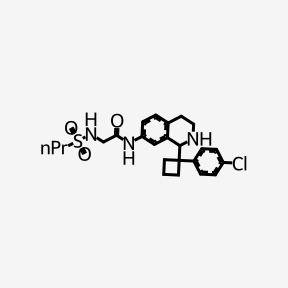 CCCS(=O)(=O)NCC(=O)Nc1ccc2c(c1)C(C1(c3ccc(Cl)cc3)CCC1)NCC2